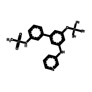 CC(C)[Si](Oc1cc(Nc2cccnc2)cc(-c2cccc(NS(C)(=O)=O)c2)c1)(C(C)C)C(C)C